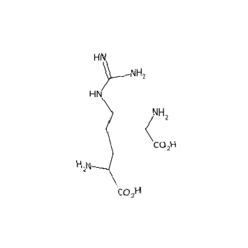 N=C(N)NCCCC(N)C(=O)O.NCC(=O)O